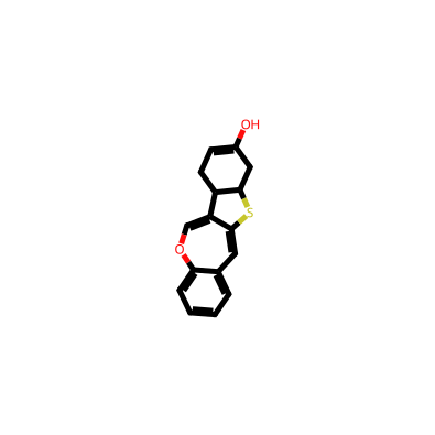 OC1=CCC2C3=COc4ccccc4C=C3SC2C1